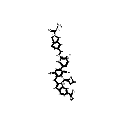 COC(=O)N1Cc2ccc(COc3nc(-c4cc(F)c(Cc5nc6ccc(C(=O)O)cc6n5CC5CCO5)cc4F)ccc3F)cc2C1